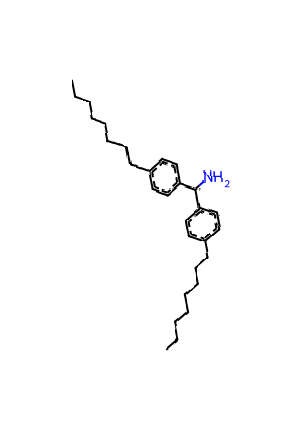 CCCCCCCCc1ccc([C](N)c2ccc(CCCCCCCC)cc2)cc1